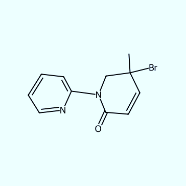 CC1(Br)C=CC(=O)N(c2ccccn2)C1